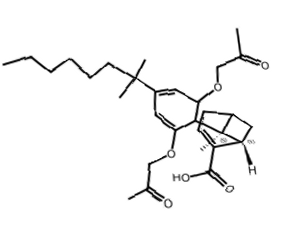 CCCCCCC(C)(C)C1=CC(OCC(C)=O)C([C@@]2(C)C3CC=C(C(=O)O)[C@H]2C3)C(OCC(C)=O)=C1